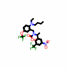 CCCCN(CC)c1ccc(OC(F)(F)F)cc1CN(C(=O)O)C(C)c1cc([N+](=O)[O-])cc(C(F)(F)F)c1